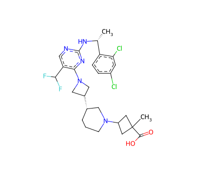 C[C@@H](Nc1ncc(C(F)F)c(N2CC([C@H]3CCCN(C4CC(C)(C(=O)O)C4)C3)C2)n1)c1ccc(Cl)cc1Cl